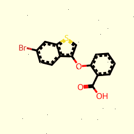 O=C(O)c1ccccc1Oc1csc2cc(Br)ccc12